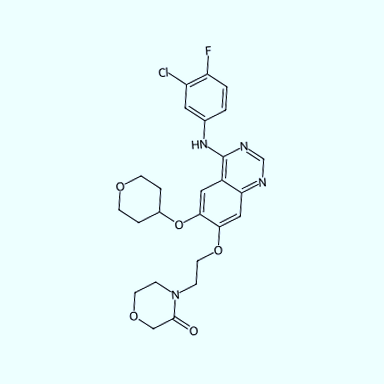 O=C1COCCN1CCOc1cc2ncnc(Nc3ccc(F)c(Cl)c3)c2cc1OC1CCOCC1